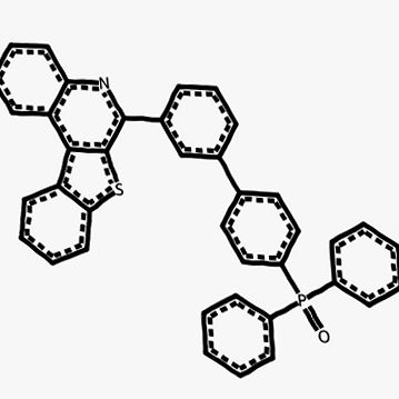 O=P(c1ccccc1)(c1ccccc1)c1ccc(-c2cccc(-c3nc4ccccc4c4c3sc3ccccc34)c2)cc1